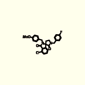 COc1ccc(CN2C(=O)c3c(Cl)cccc3C23CCN(Cc2ccc(F)cc2)C3=O)cc1